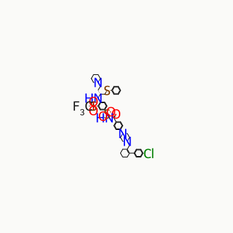 O=C(NS(=O)(=O)c1ccc(N[C@H](CCN2CCCCC2)CSc2ccccc2)c(S(=O)(=O)C(F)(F)F)c1)c1ccc(N2CCN(CC3=C(c4ccc(Cl)cc4)CCCC3)CC2)cc1